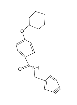 O=C(NCc1cc#ccc1)c1ccc(OC2CCCCC2)cc1